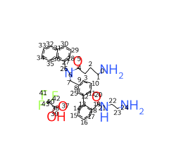 NCCCC(=O)N(Cc1cccc(-c2ccccc2C(=O)NCCN)c1)Cc1cccc2ccccc12.O=C(O)C(F)(F)F